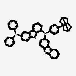 c1ccc(N(c2ccccc2)c2ccc3sc4c(N(c5ccc(C67CC8CC6CC8C7)cc5)c5ccc6oc7ccccc7c6c5)cccc4c3c2)cc1